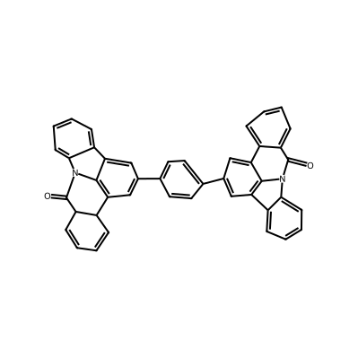 O=C1C2C=CC=CC2c2cc(-c3ccc(-c4cc5c6ccccc6c(=O)n6c7ccccc7c(c4)c56)cc3)cc3c4ccccc4n1c23